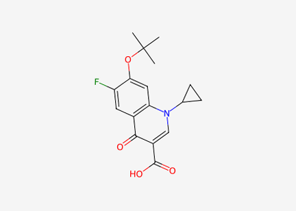 CC(C)(C)Oc1cc2c(cc1F)c(=O)c(C(=O)O)cn2C1CC1